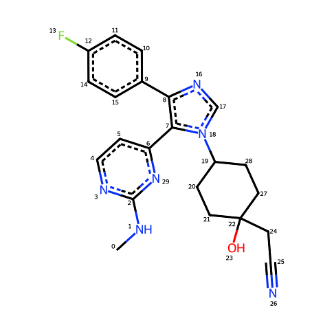 CNc1nccc(-c2c(-c3ccc(F)cc3)ncn2C2CCC(O)(CC#N)CC2)n1